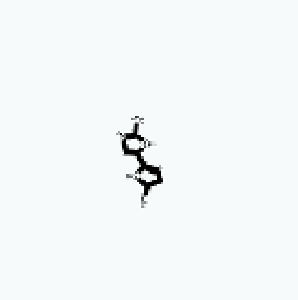 CCc1ncc(C2=CCC(Cl)S2)o1